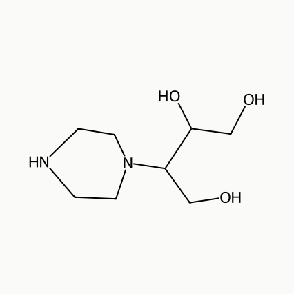 OCC(O)C(CO)N1CCNCC1